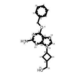 Nc1nc(OCc2ccccc2)c2ncn(C3CC(CO)C3)c2n1